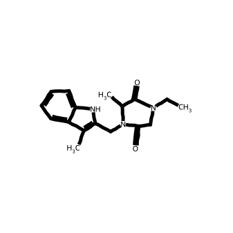 CCN1CC(=O)N(Cc2[nH]c3ccccc3c2C)C(C)C1=O